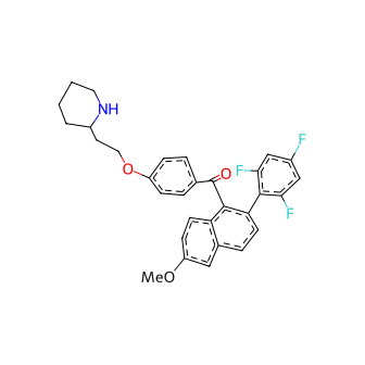 COc1ccc2c(C(=O)c3ccc(OCCC4CCCCN4)cc3)c(-c3c(F)cc(F)cc3F)ccc2c1